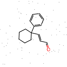 O=CC=CC1(c2ccccc2)CCCCC1